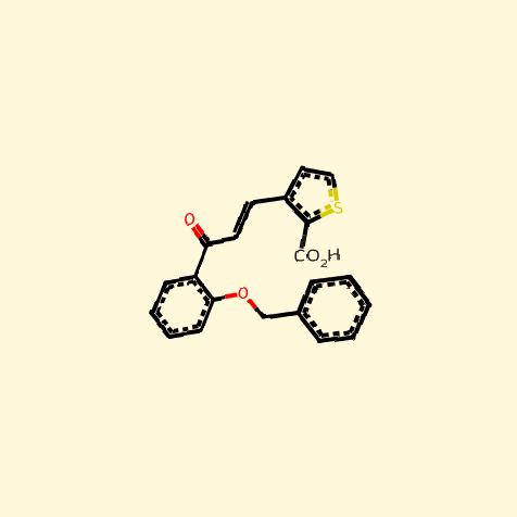 O=C(/C=C/c1ccsc1C(=O)O)c1ccccc1OCc1ccccc1